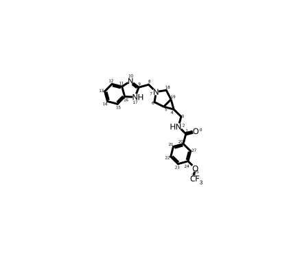 O=C(NCC1C2CN(Cc3nc4ccccc4[nH]3)CC12)c1cccc(OC(F)(F)F)c1